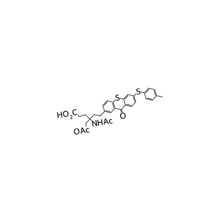 CC(=O)NC(CCC(=O)O)(CCc1ccc2sc3cc(Sc4ccc(C)cc4)ccc3c(=O)c2c1)COC(C)=O